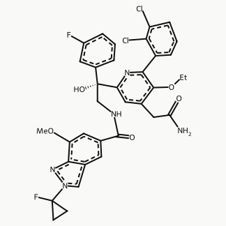 CCOc1c(CC(N)=O)cc([C@@](O)(CNC(=O)c2cc(OC)c3nn(C4(F)CC4)cc3c2)c2cccc(F)c2)nc1-c1cccc(Cl)c1Cl